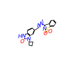 CN(/N=C/c1ccc2[nH]c(=O)n(C3CCC3)c2c1)C1=NS(=O)(=O)c2ccccc21